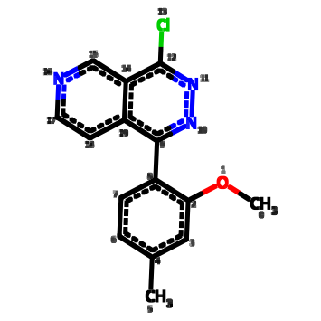 COc1cc(C)ccc1-c1nnc(Cl)c2cnccc12